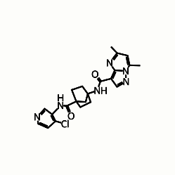 Cc1cc(C)n2ncc(C(=O)NC34CCC(C(=O)Nc5cnccc5Cl)(CC3)C4)c2n1